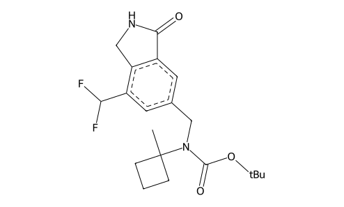 CC(C)(C)OC(=O)N(Cc1cc2c(c(C(F)F)c1)CNC2=O)C1(C)CCC1